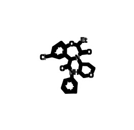 CCC1Oc2ccc(Cl)cc2C(C(=O)Nc2ccccc2)N(C2CCOCC2)C1=O